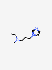 CCN(C)CCCn1ccnc1